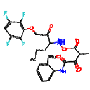 CC(=O)CCC(NOC(=O)C(C)C(=O)C(=O)Nc1ccccc1C(C)(C)C)C(=O)COc1c(F)c(F)cc(F)c1F